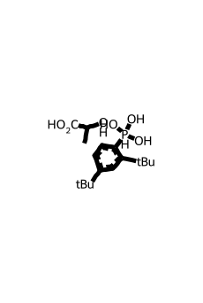 CC(C)(C)c1ccc([PH](O)(O)O)c(C(C)(C)C)c1.CC(O)C(=O)O